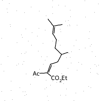 CCOC(=O)/C(=C\CC(C)CCC=C(C)C)C(C)=O